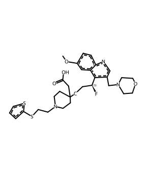 COc1ccc2ncc(CN3CCOCC3)c([C@@H](F)CCC3(CC(=O)O)CCN(CCSc4cccs4)CC3)c2c1